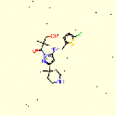 CC(C)(CO)C(=O)n1nc(C2(C)CCNCC2)cc1NCc1ccc(Cl)s1